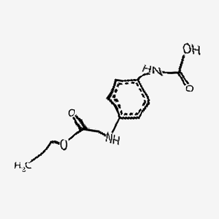 CCOC(=O)Nc1ccc(NC(=O)O)cc1